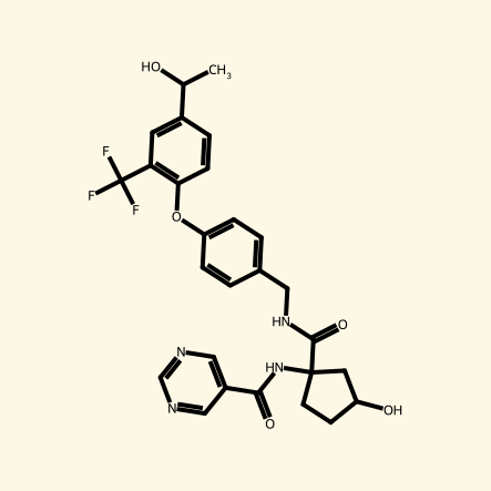 CC(O)c1ccc(Oc2ccc(CNC(=O)C3(NC(=O)c4cncnc4)CCC(O)C3)cc2)c(C(F)(F)F)c1